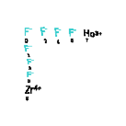 [F-].[F-].[F-].[F-].[F-].[F-].[F-].[Ho+3].[Zr+4]